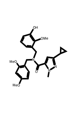 COc1ccc(CN(Cc2cccc(O)c2OC)C(=O)c2cc(C3CC3)nn2C)c(OC)c1